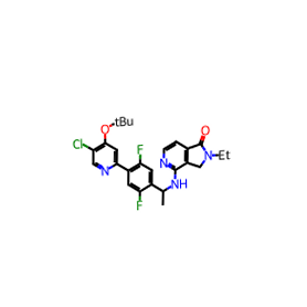 CCN1Cc2c(ccnc2NC(C)c2cc(F)c(-c3cc(OC(C)(C)C)c(Cl)cn3)cc2F)C1=O